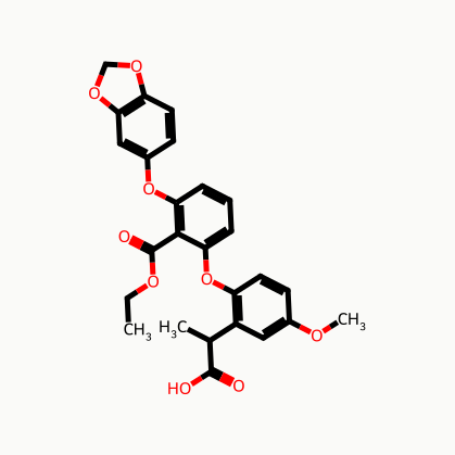 CCOC(=O)c1c(Oc2ccc3c(c2)OCO3)cccc1Oc1ccc(OC)cc1C(C)C(=O)O